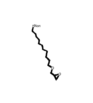 CCCCCCCCCCCCCCCCCCCCOCC1CO1